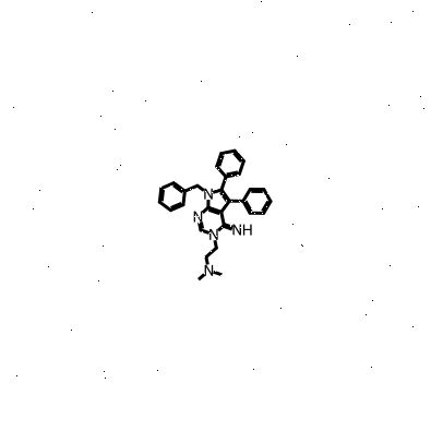 CN(C)CCn1cnc2c(c(-c3ccccc3)c(-c3ccccc3)n2Cc2ccccc2)c1=N